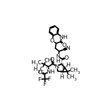 CC(C)(C)[C@H](NC(=O)C(F)(F)F)C(=O)N1C[C@H]2[C@@H]([C@H]1C(=O)NC(C#N)CC1Oc3ccccc3NC1=O)C2(C)C